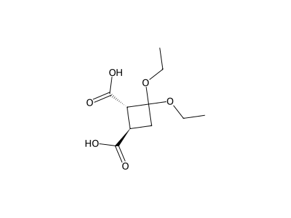 CCOC1(OCC)C[C@@H](C(=O)O)[C@@H]1C(=O)O